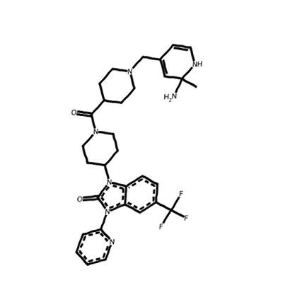 CC1(N)C=C(CN2CCC(C(=O)N3CCC(n4c(=O)n(-c5ccccn5)c5cc(C(F)(F)F)ccc54)CC3)CC2)C=CN1